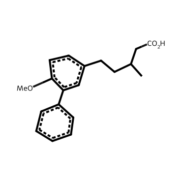 COc1ccc(CCC(C)CC(=O)O)cc1-c1ccccc1